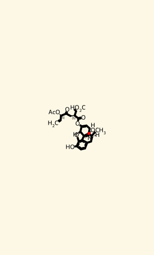 C=C[C@H](OC(C)=O)C(=O)C[C@@H](CC(=O)O)C(=O)OC1=CC[C@@]2(O)[C@H]3Cc4ccc(O)c5c4[C@@]2(CCN3C)[C@H]1O5